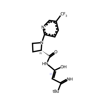 CC(C)(C)C(=N)/C=C(\O)NC(=O)[C@@H]1CCN1c1ccc(C(F)(F)F)cn1